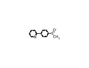 C[S+]([O-])c1ccc(-c2c[c]ccn2)cc1